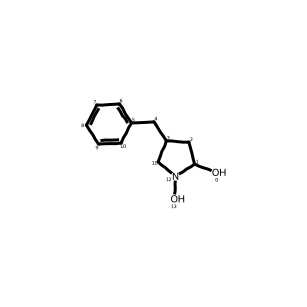 OC1CC(Cc2ccccc2)CN1O